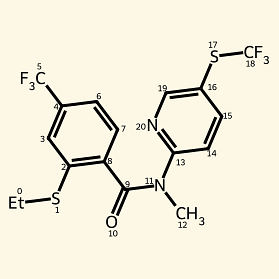 CCSc1cc(C(F)(F)F)ccc1C(=O)N(C)c1ccc(SC(F)(F)F)cn1